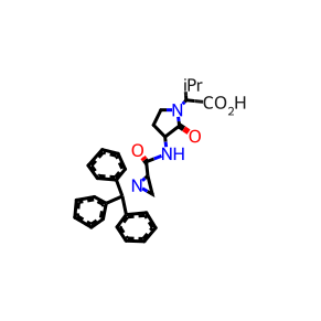 CC(C)C(C(=O)O)N1CCC(NC(=O)C2C[N@@]2C(c2ccccc2)(c2ccccc2)c2ccccc2)C1=O